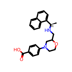 C[C@@H](NCC1CN(c2ccc(C(=O)O)cc2)CCO1)c1cccc2ccccc12